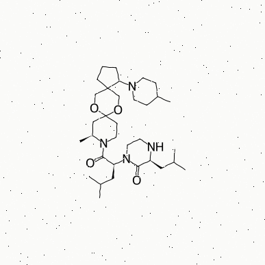 CC(C)C[C@@H]1NCCN([C@@H](CC(C)C)C(=O)N2CCC3(C[C@@H]2C)OCC2(CCCC2N2CCC(C)CC2)CO3)C1=O